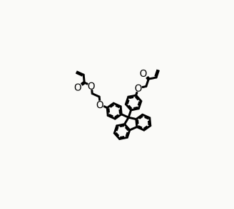 C=CC(=O)COc1ccc(C2(c3ccc(OCCOC(=O)C=C)cc3)c3ccccc3-c3ccccc32)cc1